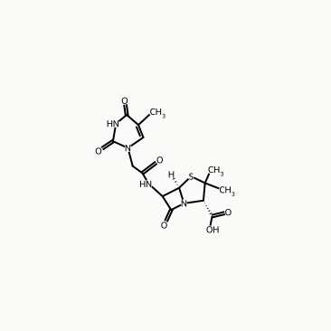 Cc1cn(CC(=O)NC2C(=O)N3[C@@H]2SC(C)(C)[C@@H]3C(=O)O)c(=O)[nH]c1=O